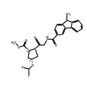 COC(=O)[C@@H]1C[C@@H](OC(F)F)CN1C(=O)CNC(=O)c1ccc2c(c1)-c1ccccc1C2C